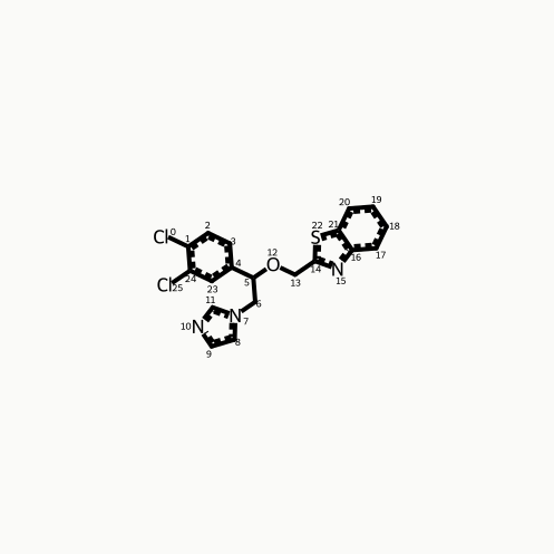 Clc1ccc(C(Cn2ccnc2)OCc2nc3ccccc3s2)cc1Cl